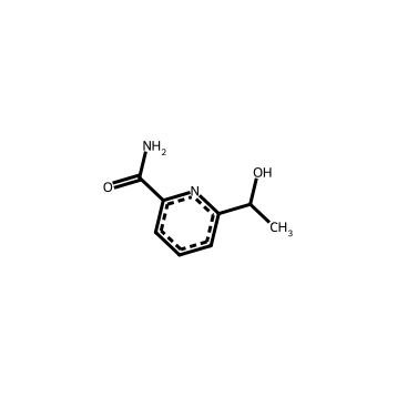 CC(O)c1cccc(C(N)=O)n1